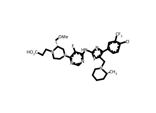 COC[C@@H]1CN(c2ncnc(Nc3nc(-c4ccc(Cl)c(C(F)(F)F)c4)c(CN4CCCC[C@H]4C)s3)c2F)CCN1CCC(=O)O